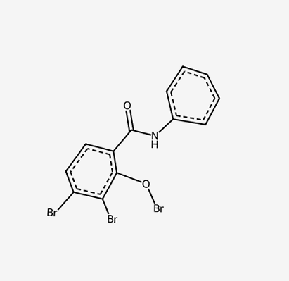 O=C(Nc1ccccc1)c1ccc(Br)c(Br)c1OBr